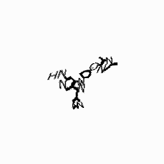 CNc1cc2c(cn1)c(-c1cnn(C)c1)nn2[C@H]1CC[C@@H](Oc2ncc(C)nc2C)CC1